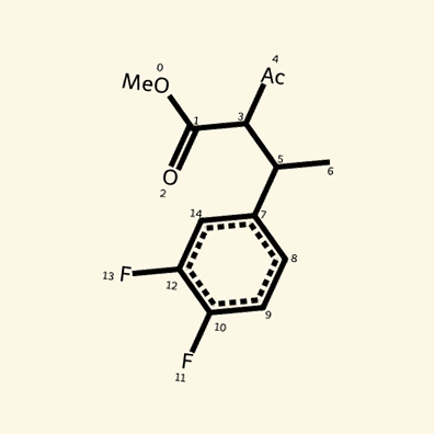 COC(=O)C(C(C)=O)C(C)c1ccc(F)c(F)c1